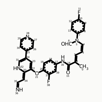 C/C(=C\C=C/N(C=O)c1ccc(F)cc1)C(=O)Nc1ccc(OC2=CC(c3ccncc3)=CN/C2=C\C=N)c(F)c1